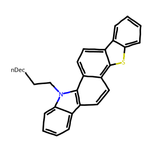 CCCCCCCCCCCCn1c2ccccc2c2ccc3c(ccc4c5ccccc5sc43)c21